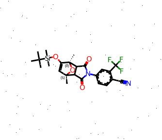 CC(C)(C)[Si](C)(C)OC1=C[C@]2(C)O[C@]1(C)C1C(=O)N(c3ccc(C#N)c(C(F)(F)F)c3)C(=O)C12